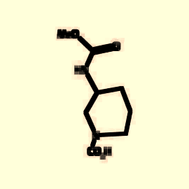 COC(=O)NC1CCCN(C(=O)O)C1